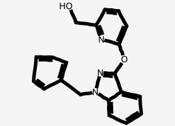 OCc1cccc(Oc2nn(Cc3ccccc3)c3ccccc23)n1